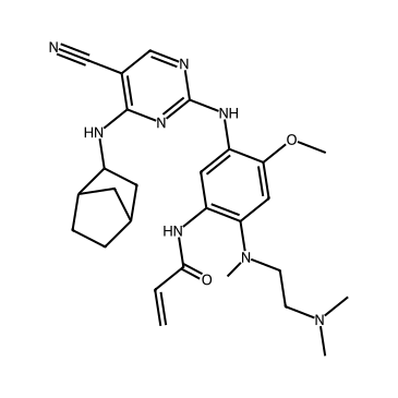 C=CC(=O)Nc1cc(Nc2ncc(C#N)c(NC3CC4CCC3C4)n2)c(OC)cc1N(C)CCN(C)C